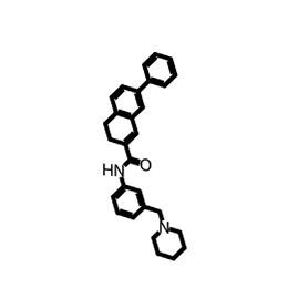 O=C(Nc1cccc(CN2CCCCC2)c1)C1=Cc2cc(-c3ccccc3)ccc2CC1